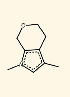 Cc1cn(C)c2c1CCOC2